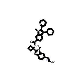 CC(=O)/C=C/c1ccc2nc(C3(NC(=O)c4ccc5c(C6CCCCC6)c(-c6ccccn6)n(C)c5c4)CCC3)n(C)c2c1